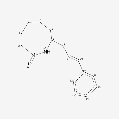 O=C1CCCCCC(CC=Cc2ccccc2)N1